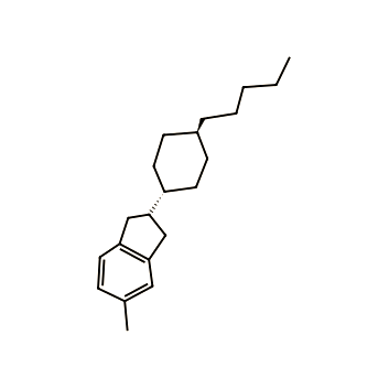 CCCCC[C@H]1CC[C@H](C2Cc3ccc(C)cc3C2)CC1